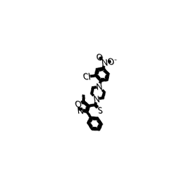 Cc1onc(-c2ccccc2)c1C(=S)N1CCN(c2ccc([N+](=O)[O-])cc2Cl)CC1